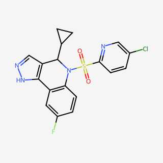 O=S(=O)(c1ccc(Cl)cn1)N1c2ccc(F)cc2-c2[nH]ncc2C1C1CC1